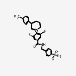 CCS(=O)(=O)c1ccc(CNC(=O)c2cc(F)c(N3CCCC(c4ccc(C(F)(F)F)cc4)C3)c(F)c2)cc1